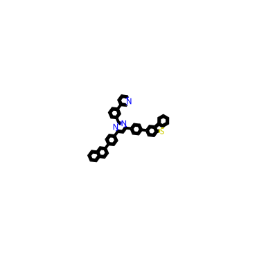 c1cncc(-c2cccc(-c3nc(-c4ccc(-c5ccc6ccccc6c5)cc4)cc(-c4ccc(-c5ccc6sc7ccccc7c6c5)cc4)n3)c2)c1